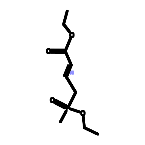 CCOC(=O)/C=C/CP(C)(=O)OCC